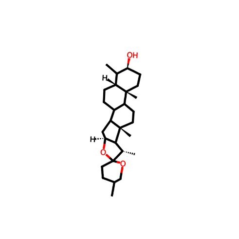 CC1CCC2(OC1)O[C@H]1CC3C4CC[C@@H]5C(C)[C@@H](O)CC[C@]5(C)C4CC[C@]3(C)C1[C@@H]2C